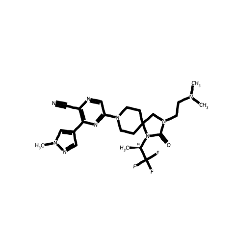 C[C@@H](N1C(=O)N(CCN(C)C)CC12CCN(c1cnc(C#N)c(-c3cnn(C)c3)n1)CC2)C(F)(F)F